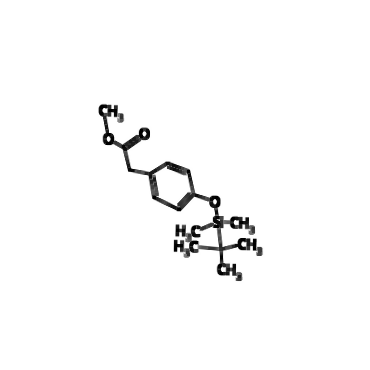 COC(=O)Cc1ccc(O[Si](C)(C)C(C)(C)C)cc1